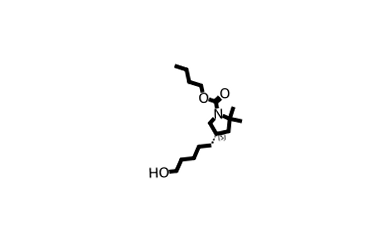 CCCCOC(=O)N1C[C@@H](CCCCCO)CC1(C)C